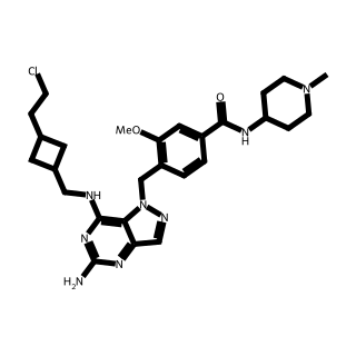 COc1cc(C(=O)NC2CCN(C)CC2)ccc1Cn1ncc2nc(N)nc(NCC3CC(CCCl)C3)c21